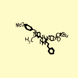 COc1ccc(Cn2nc(C)c3cc(-c4nnc(C=Cc5ccccc5)c(N5CCN(C(=O)OC(C)(C)C)CC5)n4)ccc32)cc1